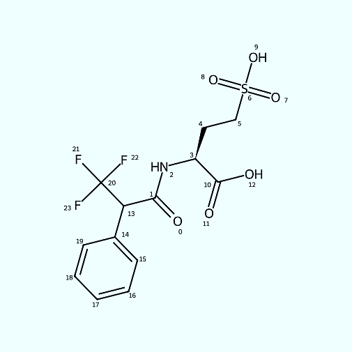 O=C(N[C@@H](CCS(=O)(=O)O)C(=O)O)C(c1ccccc1)C(F)(F)F